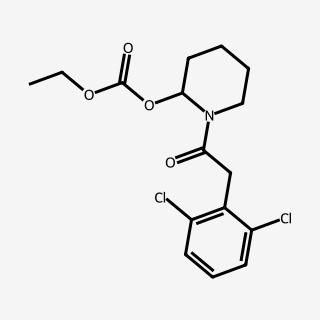 CCOC(=O)OC1CCCCN1C(=O)Cc1c(Cl)cccc1Cl